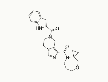 O=C(c1cc2ccccc2[nH]1)N1CCn2cnc(C(=O)N3CCCOCC34CC4)c2C1